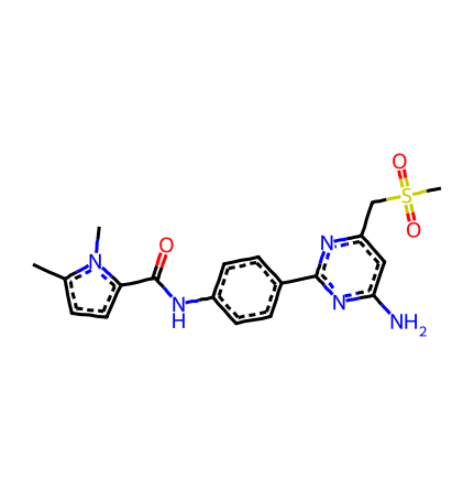 Cc1ccc(C(=O)Nc2ccc(-c3nc(N)cc(CS(C)(=O)=O)n3)cc2)n1C